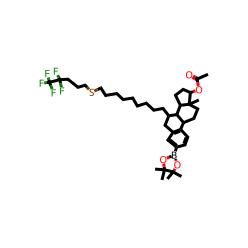 CC(=O)OC1CCC2C3C(CCCCCCCCCSCCCC(F)(F)C(F)(F)F)Cc4cc(B5OC(C)(C)C(C)(C)O5)ccc4C3CCC12C